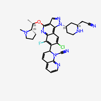 C[C@H](Oc1nc2c(F)c(C3C=Cc4cccnc4N3C#N)c(Cl)cc2c2c1cnn2[C@H]1CCN[C@H](CC#N)C1)[C@@H]1CCCN1C